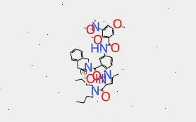 CCCCN(CCCC)C(=O)c1cc(C)n(-c2ccc(NC(=O)c3cc(OC)cc(N(C)OC)c3OC)cc2C(=O)N2Cc3ccccc3C[C@H]2CO)n1